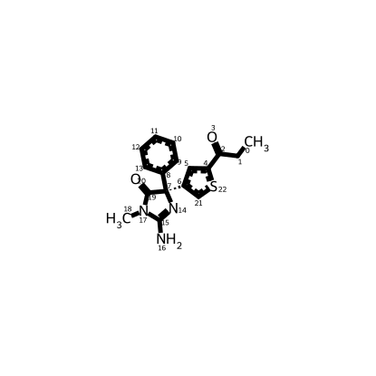 CCC(=O)c1cc([C@]2(c3ccccc3)N=C(N)N(C)C2=O)cs1